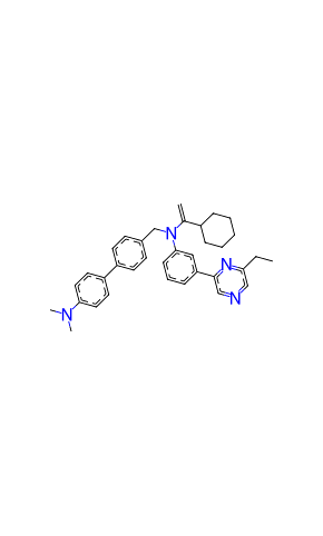 C=C(C1CCCCC1)N(Cc1ccc(-c2ccc(N(C)C)cc2)cc1)c1cccc(-c2cncc(CC)n2)c1